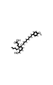 CCCCN1C(C=CC(=O)O)=C(OCCCCCCCCc2ccc(OC)cc2)C=CC1CO